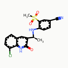 C[C@H](Nc1ccc(C#N)cc1S(C)(=O)=O)c1cc2cccc(Cl)c2[nH]c1=O